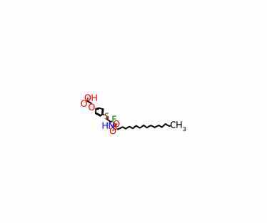 CCCCCCCCCCCCCCCCS(=O)(=O)NC(F)CSc1ccc(OCC(=O)O)cc1